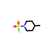 CC1CCN(S(=O)(=O)Cl)CC1